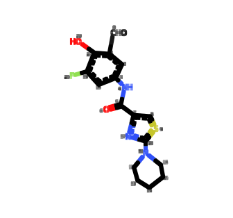 O=Cc1cc(NC(=O)c2csc(N3CCCCC3)n2)cc(F)c1O